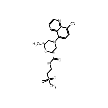 C[C@@H]1CN(c2ccc(C#N)c3nccnc23)C[C@H](C(=O)NCCS(C)(=O)=O)O1